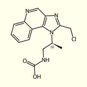 C[C@@H](CNC(=O)O)n1c(CCl)nc2cnc3ccccc3c21